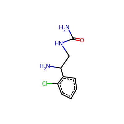 NC(=O)NCC(N)c1ccccc1Cl